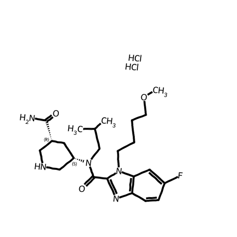 COCCCCn1c(C(=O)N(CC(C)C)[C@@H]2CNC[C@H](C(N)=O)C2)nc2ccc(F)cc21.Cl.Cl